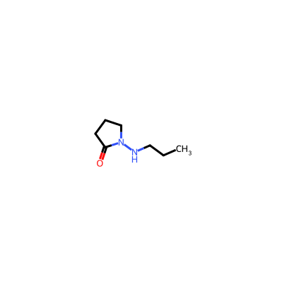 CCCNN1CCCC1=O